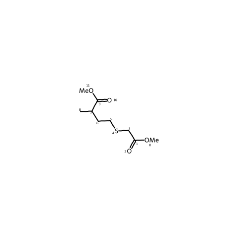 COC(=O)CSCCC(C)C(=O)OC